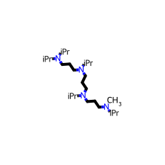 CC(C)N(C)CCCN(CCCN(CCCN(C(C)C)C(C)C)C(C)C)C(C)C